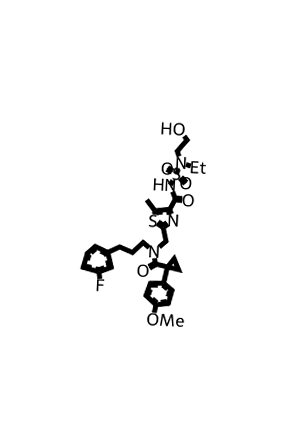 CCN(CCO)S(=O)(=O)NC(=O)c1nc(CN(CCCc2cccc(F)c2)C(=O)C2(c3ccc(OC)cc3)CC2)sc1C